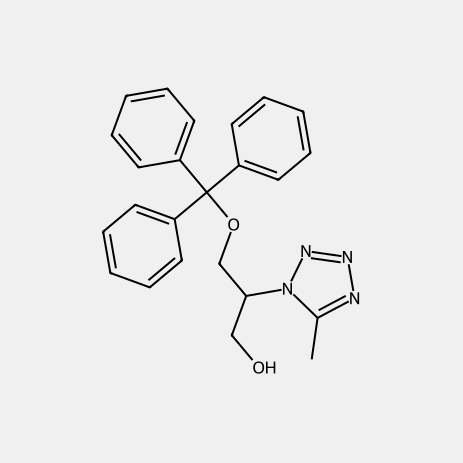 Cc1nnnn1C(CO)COC(c1ccccc1)(c1ccccc1)c1ccccc1